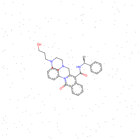 CC[C@H](NC(=O)c1c(CN2CCN(CCCO)CC2)n(-c2ccccc2)c(=O)c2ccccc12)c1ccccc1